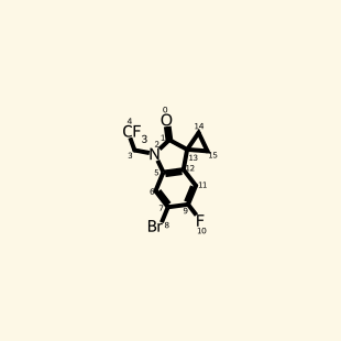 O=C1N(CC(F)(F)F)c2cc(Br)c(F)cc2C12CC2